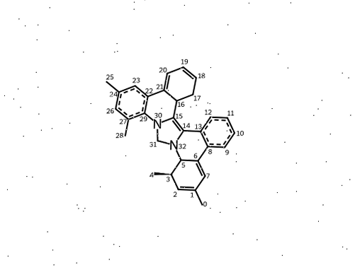 CC1=C[C@@H](C)C2C(=C1)c1ccccc1C1=C3C4CC=CC=C4c4cc(C)cc(C)c4N3CN12